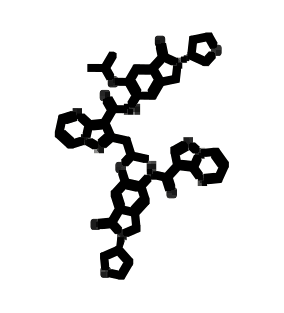 CC(C)Oc1cc2c(cc1NC(=O)c1c(CC(C)Oc3cc4c(cc3NC(=O)c3cnn5cccnc35)CN([C@H]3CCOC3)C4=O)nn3cccnc13)CN([C@@H]1CCOC1)C2=O